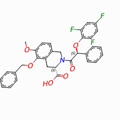 COc1ccc2c(c1OCc1ccccc1)C[C@@H](C(=O)O)N(C(=O)[C@@H](Oc1c(F)cc(F)cc1F)c1ccccc1)C2